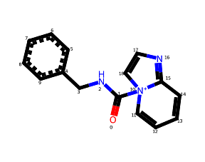 O=C(NCc1c[c]ccc1)[N+]12C=CC=CC1=NC=C2